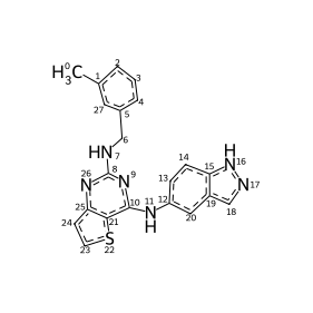 Cc1cccc(CNc2nc(Nc3ccc4[nH]ncc4c3)c3sccc3n2)c1